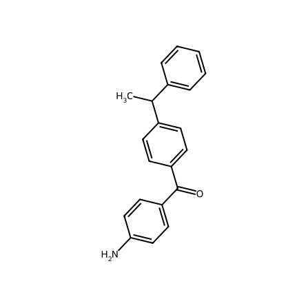 CC(c1ccccc1)c1ccc(C(=O)c2ccc(N)cc2)cc1